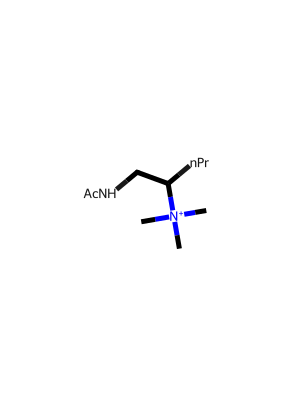 CCCC(CNC(C)=O)[N+](C)(C)C